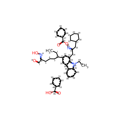 CCC(CCCC(C=O)=NO)c1cc(CC(CC2CCCCC2)=NOC(=O)c2ccccc2)c2c(c1)c1ccccc1n2CC.O=C(O)c1ccccc1